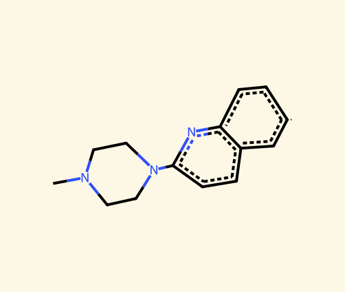 CN1CCN(c2ccc3c[c]ccc3n2)CC1